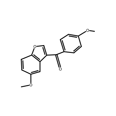 COc1ccc(C(=O)c2coc3ccc(OC)cc23)cc1